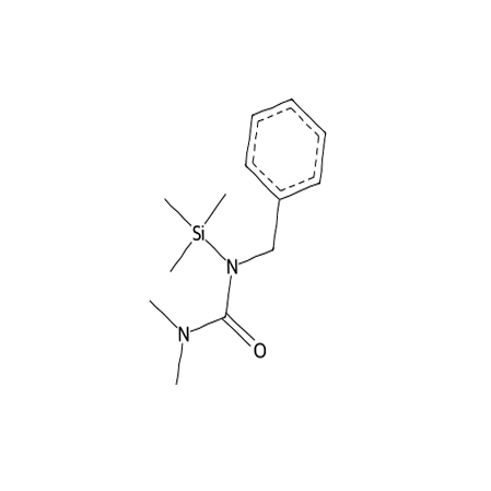 CN(C)C(=O)N(Cc1ccccc1)[Si](C)(C)C